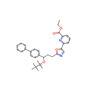 CCOC(=O)c1cccc(-c2cnc(CCC(O[Si](C)(C)C(C)(C)C)c3ccc(-c4ccccc4)cc3)o2)n1